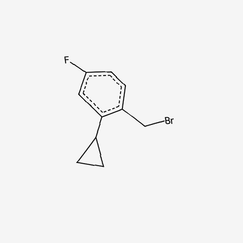 Fc1ccc(CBr)c(C2CC2)c1